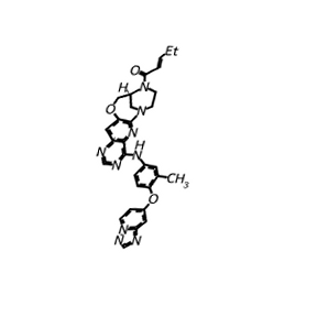 CC/C=C/C(=O)N1CCN2C[C@H]1COc1cc3ncnc(Nc4ccc(Oc5ccn6ncnc6c5)c(C)c4)c3nc12